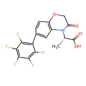 C[C@@H](C(=O)O)N1C(=O)COc2ccc(-c3c(F)c(F)c(F)c(F)c3F)cc21